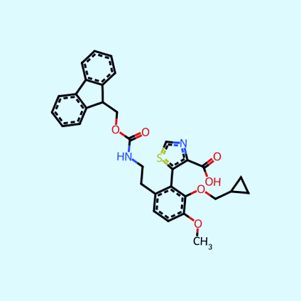 COc1ccc(CCNC(=O)OCC2c3ccccc3-c3ccccc32)c(-c2scnc2C(=O)O)c1OCC1CC1